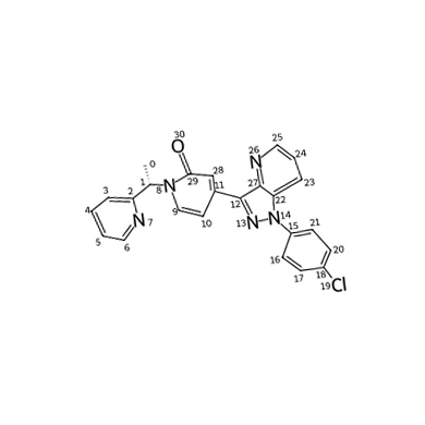 C[C@@H](c1ccccn1)n1ccc(-c2nn(-c3ccc(Cl)cc3)c3cccnc23)cc1=O